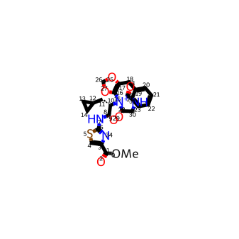 COC(=O)c1csc(NC(=O)[C@H](CC2CC2)[N+]2(C3=C(Cc4ccccc4)OCO3)C(=O)CNC2=O)n1